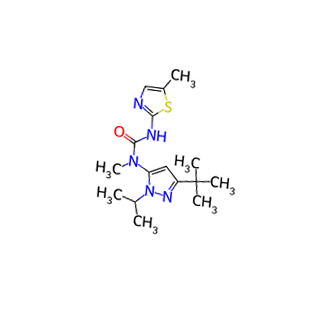 Cc1cnc(NC(=O)N(C)c2cc(C(C)(C)C)nn2C(C)C)s1